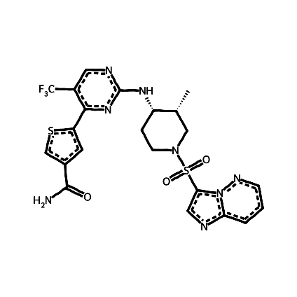 C[C@@H]1CN(S(=O)(=O)c2cnc3cccnn23)CC[C@@H]1Nc1ncc(C(F)(F)F)c(-c2cc(C(N)=O)cs2)n1